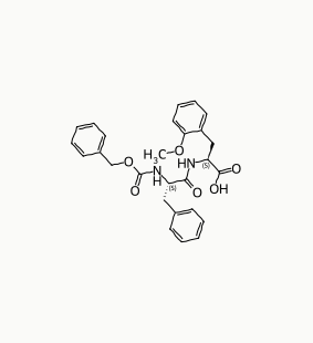 COc1ccccc1C[C@H](NC(=O)[C@H](Cc1ccccc1)NC(=O)OCc1ccccc1)C(=O)O